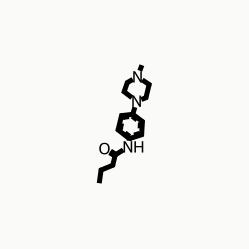 CCCC(=O)Nc1ccc(N2CCN(C)CC2)cc1